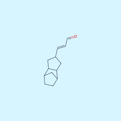 O=CC=CC1CC2C3CCC(C3)C2C1